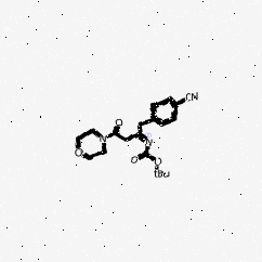 CC(C)(C)OC(=O)/N=C(\CC(=O)N1CCOCC1)Cc1ccc(C#N)cc1